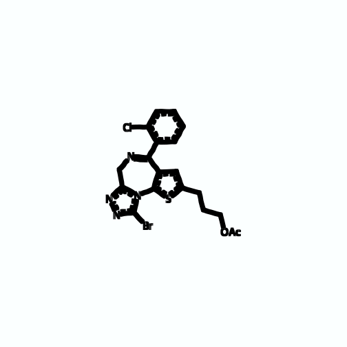 CC(=O)OCCCc1cc2c(s1)-n1c(Br)nnc1CN=C2c1ccccc1Cl